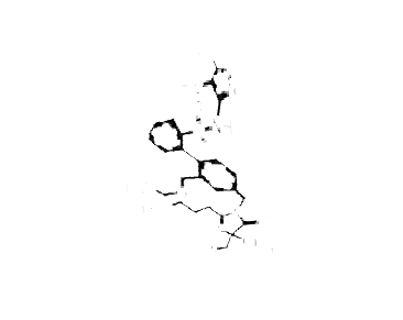 CCCCC1=NC(C)(CN)C(=O)N1Cc1ccc(-c2ccccc2S(=O)(=O)Nc2noc(C)c2C)c(COCC)c1